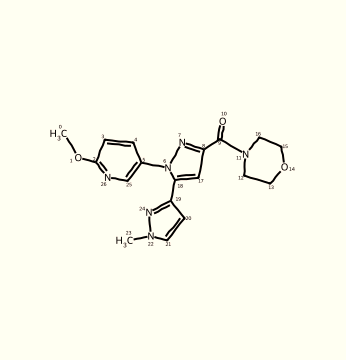 COc1ccc(-n2nc(C(=O)N3CCOCC3)cc2-c2ccn(C)n2)cn1